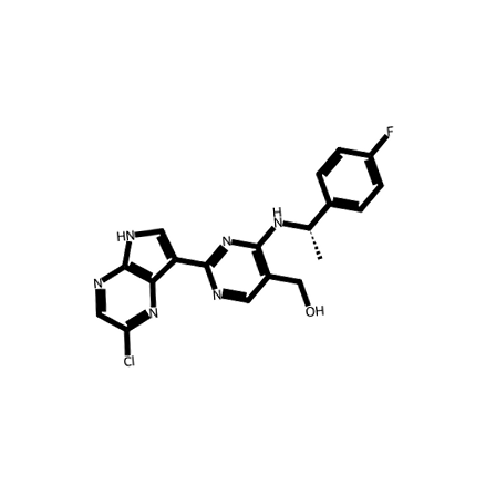 C[C@H](Nc1nc(-c2c[nH]c3ncc(Cl)nc23)ncc1CO)c1ccc(F)cc1